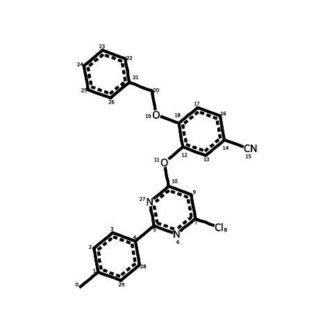 Cc1ccc(-c2nc(Cl)cc(Oc3cc(C#N)ccc3OCc3ccccc3)n2)cc1